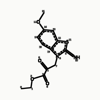 CCOC(=O)C(=O)Cn1c(=N)sc2cc(OC)ccc21